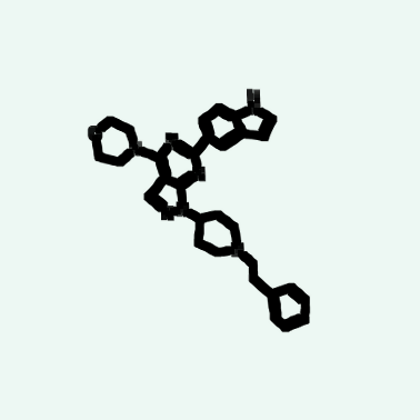 c1ccc(CCN2CCC(n3ncc4c(N5CCOCC5)nc(-c5ccc6[nH]ccc6c5)nc43)CC2)cc1